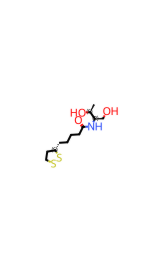 C[C@H](O)[C@@H](CO)NC(=O)CCCC[C@H]1CCSS1